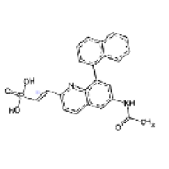 CC(=O)Nc1cc(-c2cccc3ccccc23)c2nc(/C=C/P(=O)(O)O)ccc2c1